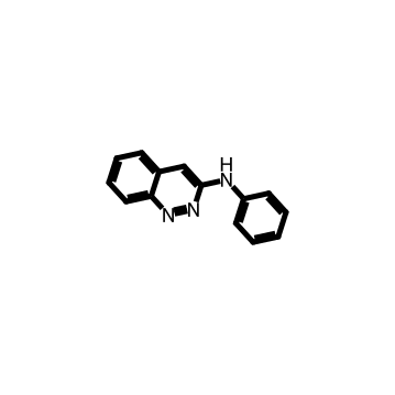 c1ccc(Nc2cc3ccccc3nn2)cc1